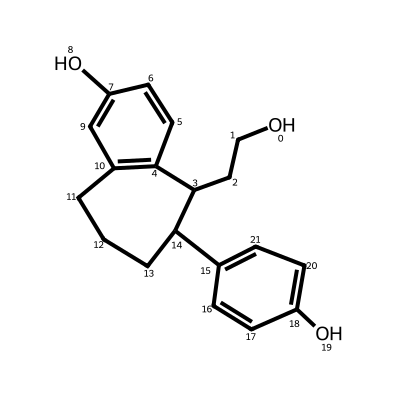 OCCC1c2ccc(O)cc2CCCC1c1ccc(O)cc1